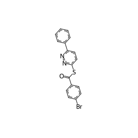 O=C(Sc1ccc(-c2ccccc2)nn1)c1ccc(Br)cc1